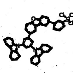 Cl[Si](Cl)(Cl)c1cccc(-c2ccc3oc4ccc(-c5cc(-n6c7ccccc7c7ccccc76)cc(-n6c7ccccc7c7ccccc76)c5)cc4c3c2)c1